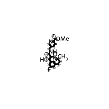 COC(=O)c1ccc(CNC(=O)c2c(O)c3cc(F)cc4c3n(c2=O)C(C)CC4)cn1